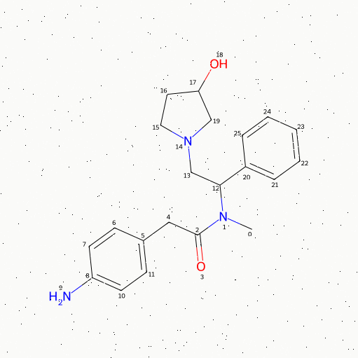 CN(C(=O)Cc1ccc(N)cc1)C(CN1CCC(O)C1)c1ccccc1